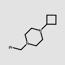 CC(C)CN1CCN(C2CCC2)CC1